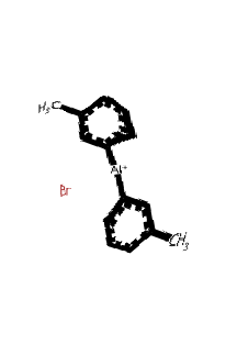 Cc1ccc[c]([Al+][c]2cccc(C)c2)c1.[Br-]